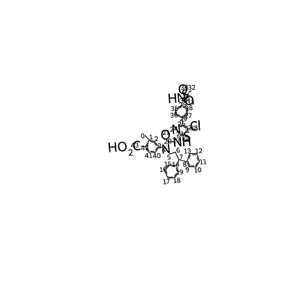 Cc1cc(N(CCC(c2ccccc2)c2ccccc2)C(=O)Nc2nc(-c3ccc(NS(C)(=O)=O)cc3)c(Cl)s2)ccc1C(=O)O